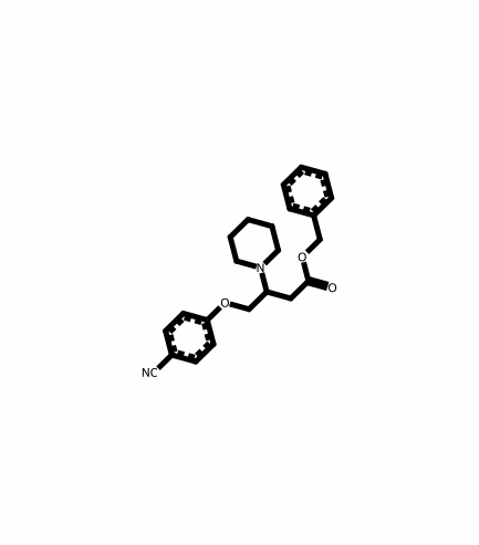 N#Cc1ccc(OCC(CC(=O)OCc2ccccc2)N2CCCCC2)cc1